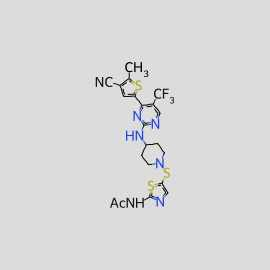 CC(=O)Nc1ncc(SN2CCC(Nc3ncc(C(F)(F)F)c(-c4cc(C#N)c(C)s4)n3)CC2)s1